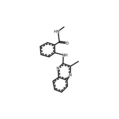 CNC(=O)c1ccccc1Nc1nc2ccccc2nc1C